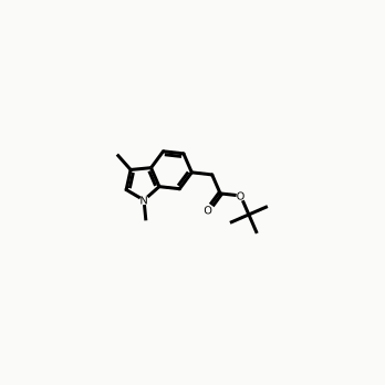 Cc1cn(C)c2cc(CC(=O)OC(C)(C)C)ccc12